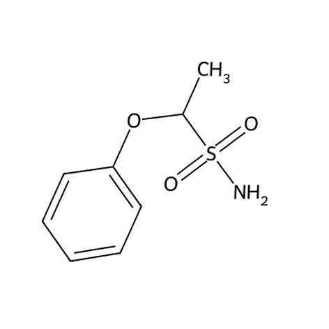 CC(Oc1ccccc1)S(N)(=O)=O